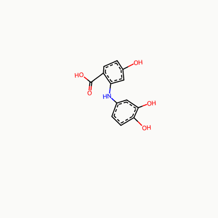 O=C(O)c1ccc(O)cc1Nc1ccc(O)c(O)c1